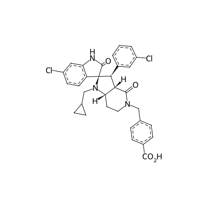 O=C(O)c1ccc(CN2CC[C@H]3[C@@H](C2=O)[C@H](c2cccc(Cl)c2)[C@]2(C(=O)Nc4cc(Cl)ccc42)N3CC2CC2)cc1